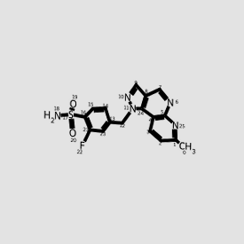 Cc1ccc2c(ncc3cnn(Cc4ccc(S(N)(=O)=O)c(F)c4)c32)n1